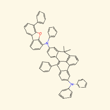 CC1(C)c2cc(N(c3ccccc3)c3cccc4c3oc3c(-c5ccccc5)cccc34)ccc2-c2c(-c3ccccc3)c3ccc(N(c4ccccc4)c4ccccc4)cc3c3cccc1c23